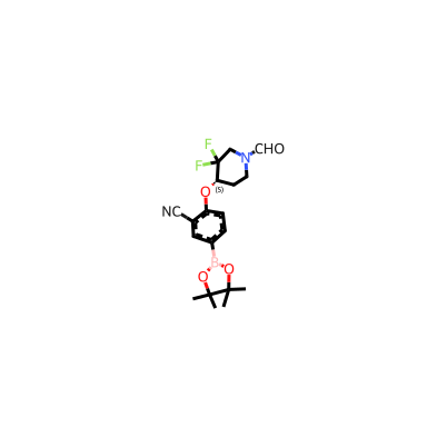 CC1(C)OB(c2ccc(O[C@H]3CCN(C=O)CC3(F)F)c(C#N)c2)OC1(C)C